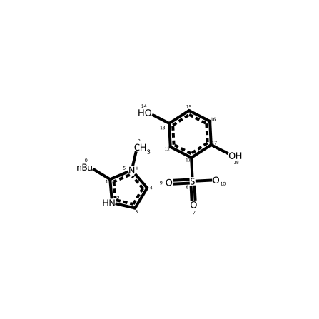 CCCCc1[nH]cc[n+]1C.O=S(=O)([O-])c1cc(O)ccc1O